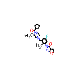 Cc1c(CN2CCN(C(=O)C3CCCC3)[C@@H](C)C2)cc(F)cc1NC(=O)C1CCOC1